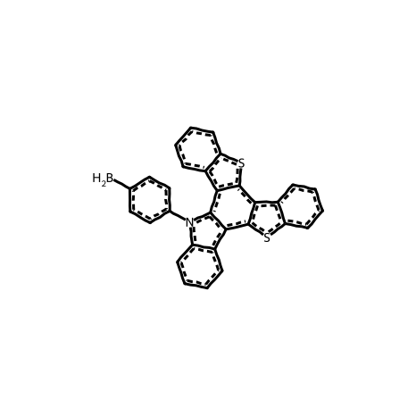 Bc1ccc(-n2c3ccccc3c3c4sc5ccccc5c4c4sc5ccccc5c4c32)cc1